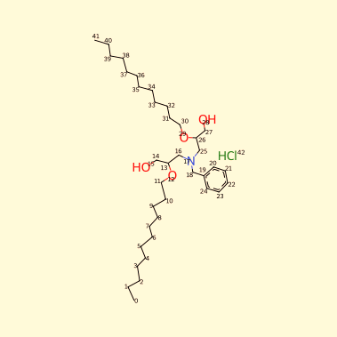 CCCCCCCCCCCCOC(CO)CN(Cc1ccccc1)CC(CO)OCCCCCCCCCCCC.Cl